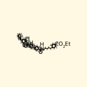 CCOC(=O)c1ccc(CCCCCNC(=O)c2ccc(N3CCN(C(=O)Nc4c(Cl)cc(CN5CCCC5)cc4Cl)CC3)cc2)cc1